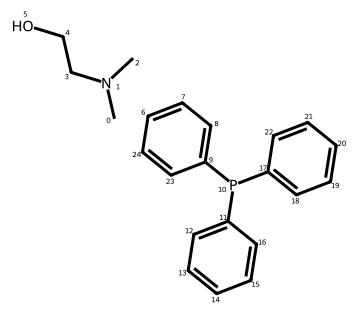 CN(C)CCO.c1ccc(P(c2ccccc2)c2ccccc2)cc1